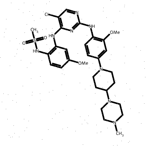 COc1ccc(NS(C)(=O)=O)c(Nc2nc(Nc3ccc(N4CCC(N5CCN(C)CC5)CC4)cc3OC)ncc2Cl)c1